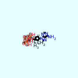 C=C1[C@@H](n2cnc3c(N)ncnc32)CC[C@@]1(C)COP(=O)(O)OP(=O)(O)OP(=O)(O)O